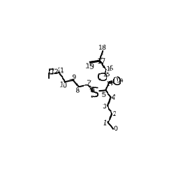 CCCCCC(SCCCCCF)C(=O)OCC(C)C